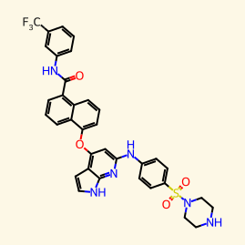 O=C(Nc1cccc(C(F)(F)F)c1)c1cccc2c(Oc3cc(Nc4ccc(S(=O)(=O)N5CCNCC5)cc4)nc4[nH]ccc34)cccc12